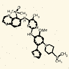 COc1cc(N2CCC(N(C)C)CC2)c(-c2ccsc2)cc1Nc1ncc(C)c(Nc2ccc3nccnc3c2P(C)(C)=O)n1